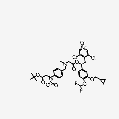 CN(CC(=O)O[C@@H](Cc1c(Cl)c[n+]([O-])cc1Cl)c1ccc(OC(F)F)c(OCC2CC2)c1)Cc1ccc(N(CC(=O)OC(C)(C)C)[SH](=O)=O)cc1